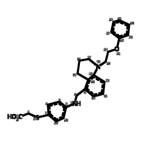 O=C(O)CSc1ccc(NCc2cccc3c2CCCN3CCOc2ccccc2)cc1